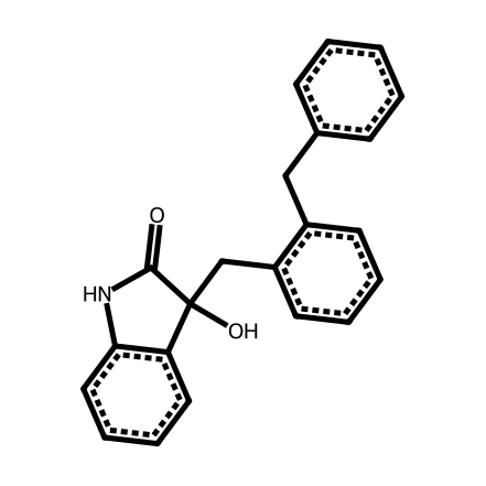 O=C1Nc2ccccc2C1(O)Cc1ccccc1Cc1ccccc1